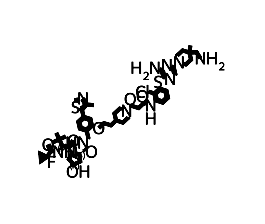 Cc1ncsc1-c1ccc(CNC(=O)[C@@H]2C[C@@H](O)CN2C(=O)[C@@H](NC(=O)C2(F)CC2)C(C)(C)C)c(OCCC2CCN(C(=O)CC(=O)Nc3cccc(Sc4ncc(N5CCC(C)(CN)CC5)nc4N)c3Cl)CC2)c1